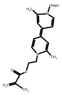 C=C(C)C(=O)OCCN1C=CC(=C2C=CN(CCCCCCC)C(C)=C2)C=C1C